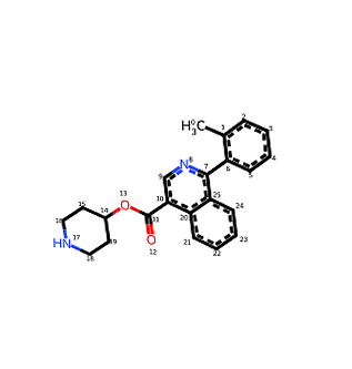 Cc1ccccc1-c1ncc(C(=O)OC2CCNCC2)c2ccccc12